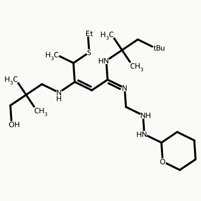 CCSC(C)/C(=C\C(=N/CNNC1CCCCO1)NC(C)(C)CC(C)(C)C)NCC(C)(C)CO